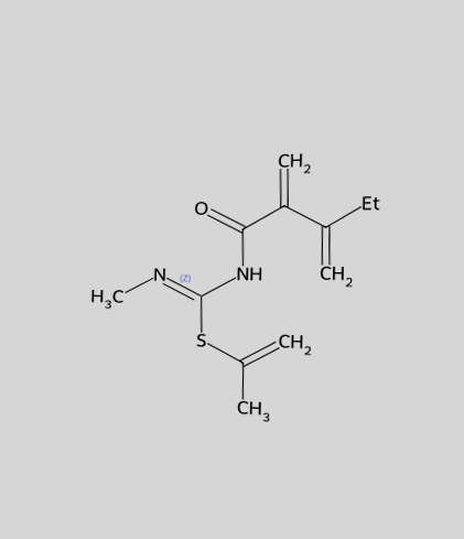 C=C(C)S/C(=N\C)NC(=O)C(=C)C(=C)CC